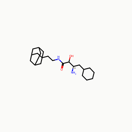 N[C@H](CC1CCCCC1)C(O)C(=O)NCCC12CC3CC(CC(C3)C1)C2